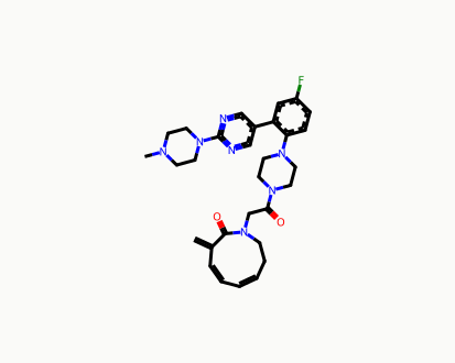 C=C1/C=C\C=C/CCN(CC(=O)N2CCN(c3ccc(F)cc3-c3cnc(N4CCN(C)CC4)nc3)CC2)C1=O